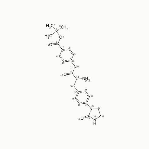 CC(C)(C)OC(=O)c1ccc(NC(=O)C(N)Cc2ccc(N3CCNC3=O)cc2)cc1